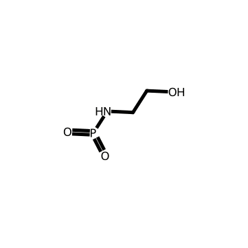 O=P(=O)NCCO